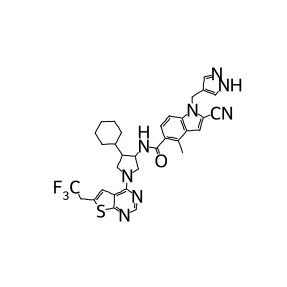 Cc1c(C(=O)NC2CN(c3ncnc4sc(CC(F)(F)F)cc34)CC2C2CCCCC2)ccc2c1cc(C#N)n2Cc1cn[nH]c1